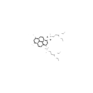 CCOC(CCN(C)S(=O)(=O)c1cc(S(=O)(=O)N(C)CCC(OCC)OCC)c2ccc3c(SO)cc(N)c4ccc1c2c43)OCC